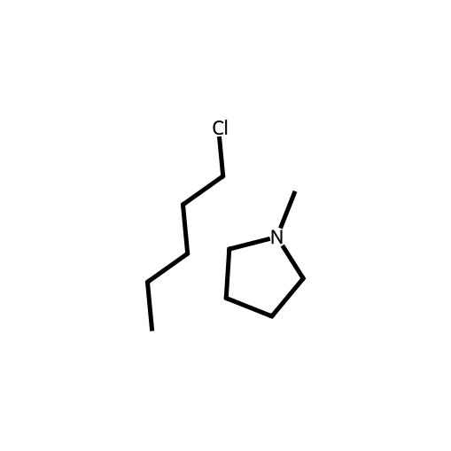 CCCCCCl.CN1CCCC1